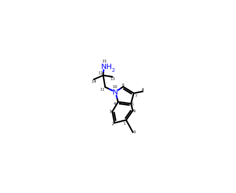 Cc1ccc2c(c1)c(C)cn2CC(C)(C)N